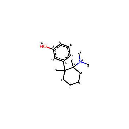 CN(C)C1(C)CCCCC1(C)c1cccc(O)c1